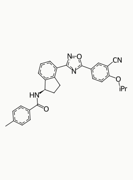 Cc1ccc(C(=O)N[C@@H]2CCc3c(-c4noc(-c5ccc(OC(C)C)c(C#N)c5)n4)cccc32)cc1